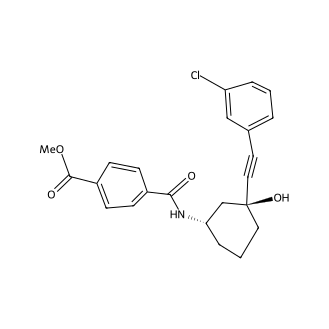 COC(=O)c1ccc(C(=O)N[C@H]2CCC[C@@](O)(C#Cc3cccc(Cl)c3)C2)cc1